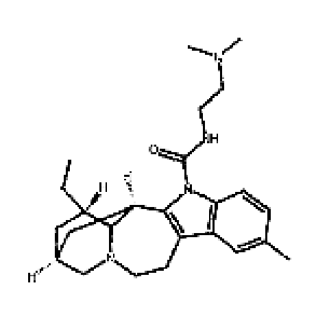 CC[C@H]1C[C@H]2C[C@H]3c4c(c5cc(C)ccc5n4C(=O)NCCN(C)C)CCN(C2)C13